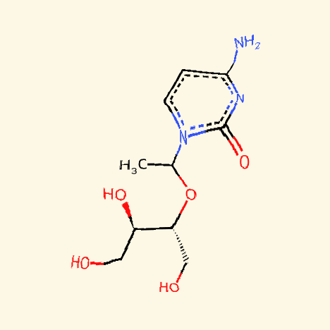 CC(O[C@H](CO)[C@H](O)CO)n1ccc(N)nc1=O